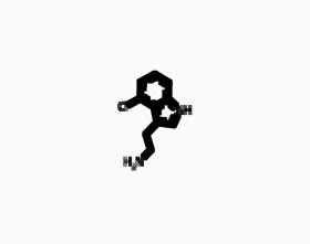 NCCc1c[nH]c2cccc(Cl)c12